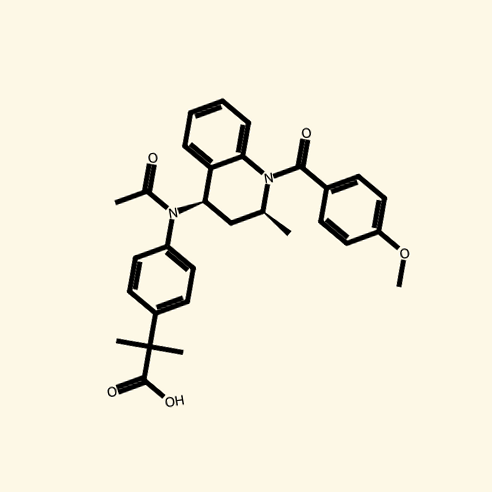 COc1ccc(C(=O)N2c3ccccc3[C@H](N(C(C)=O)c3ccc(C(C)(C)C(=O)O)cc3)C[C@@H]2C)cc1